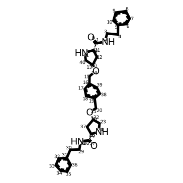 O=C(NCCc1ccccc1)[C@@H]1C[C@H](OCc2ccc(CO[C@@H]3CN[C@H](C(=O)NCCc4ccccc4)C3)cc2)CN1